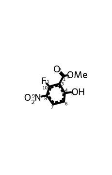 COC(=O)c1c(O)ccc([N+](=O)[O-])c1F